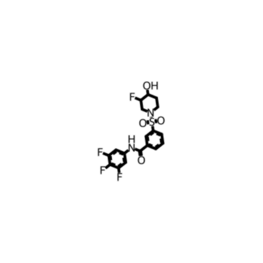 O=C(Nc1cc(F)c(F)c(F)c1)c1cccc(S(=O)(=O)N2CCC(O)C(F)C2)c1